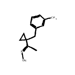 C/C(=N\O)C1(Cc2cccc(C(F)(F)F)c2)CC1